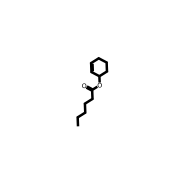 CCCCCC(=O)OC1C=CCCC1